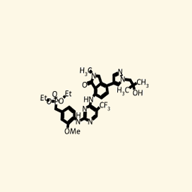 CCOP(=O)(Cc1ccc(Nc2ncc(C(F)(F)F)c(Nc3ccc(-c4cnn(CC(C)(C)O)c4)c4c3C(=O)N(C)C4)n2)c(OC)c1)OCC